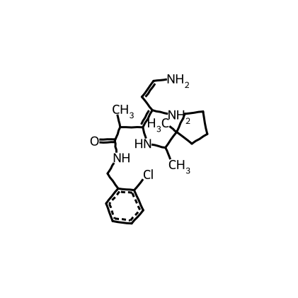 CC(C(=O)NCc1ccccc1Cl)/C(NC(C)C1(C)CCCC1)=C(N)\C=C/N